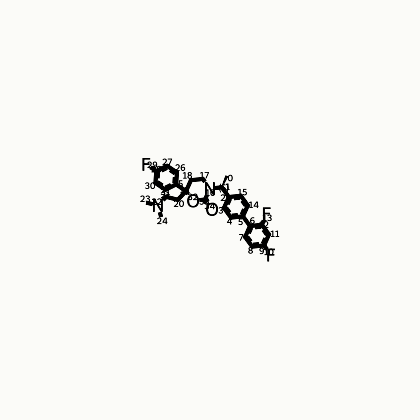 C[C@@H](c1ccc(-c2ccc(F)cc2F)cc1)N1CCC(CCN(C)C)(c2ccc(F)cc2)OC1=O